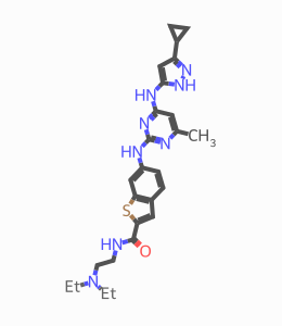 CCN(CC)CCNC(=O)c1cc2ccc(Nc3nc(C)cc(Nc4cc(C5CC5)n[nH]4)n3)cc2s1